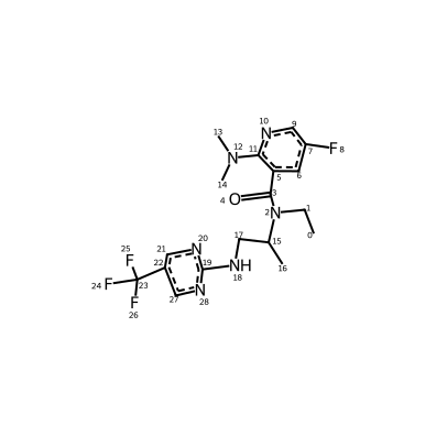 CCN(C(=O)c1cc(F)cnc1N(C)C)C(C)CNc1ncc(C(F)(F)F)cn1